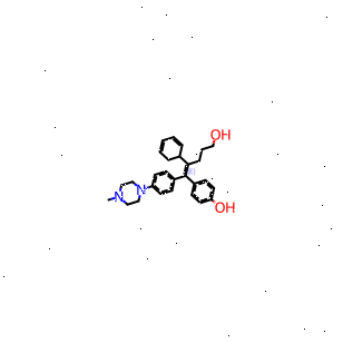 CN1CCN(c2ccc(/C(=C(/CCCO)C3C=CC=CC3)c3ccc(O)cc3)cc2)CC1